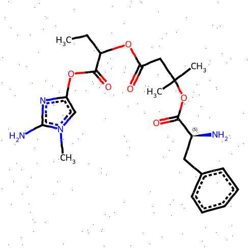 CCC(OC(=O)CC(C)(C)OC(=O)[C@@H](N)Cc1ccccc1)C(=O)Oc1cn(C)c(N)n1